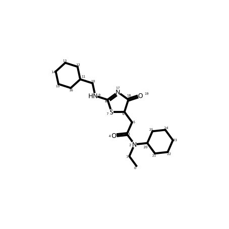 CCN(C(=O)CC1SC(NCC2CCCCC2)=NC1=O)C1CCCCC1